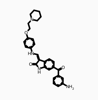 Nc1cccc(C(=O)c2ccc3c(c2)NC(=O)C3=CNc2ccc(OCCN3CCCCC3)cc2)c1